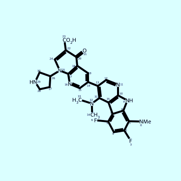 CNc1c(F)cc(F)c2c1[nH]c1ncc(-c3cnc4c(c3)c(=O)c(C(=O)O)cn4C3CCNC3)c(N(C)C)c12